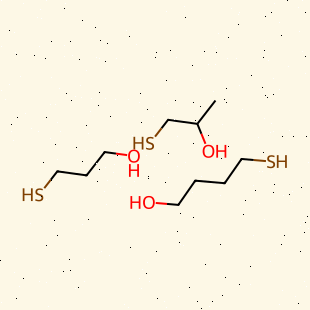 CC(O)CS.OCCCCS.OCCCS